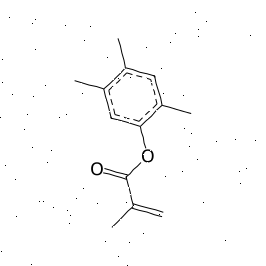 C=C(C)C(=O)Oc1cc(C)c(C)cc1C